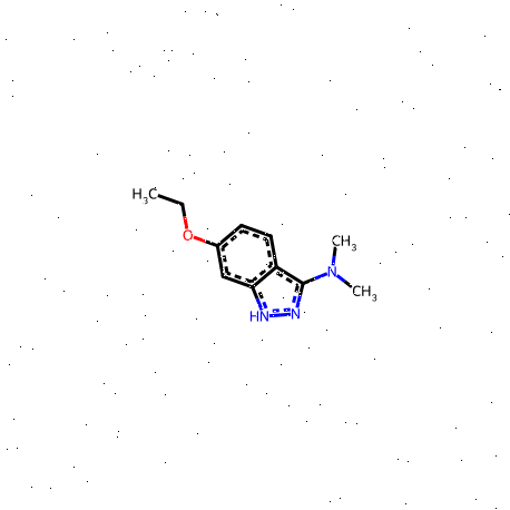 CCOc1ccc2c(N(C)C)n[nH]c2c1